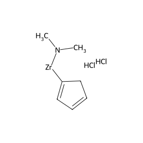 C[N](C)[Zr][C]1=CC=CC1.Cl.Cl